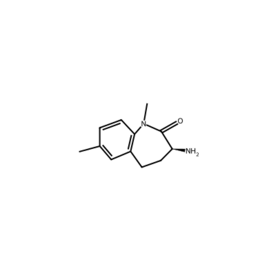 Cc1ccc2c(c1)CC[C@H](N)C(=O)N2C